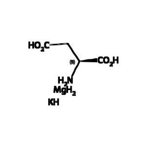 N[C@@H](CC(=O)O)C(=O)O.[KH].[MgH2]